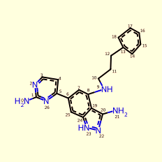 Nc1nccc(-c2cc(NCCCc3ccccc3)c3c(N)n[nH]c3c2)n1